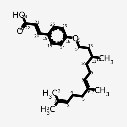 CC(C)=CCC/C(C)=C/CCC(C)CCOc1ccc(/C=C/C(=O)O)cc1